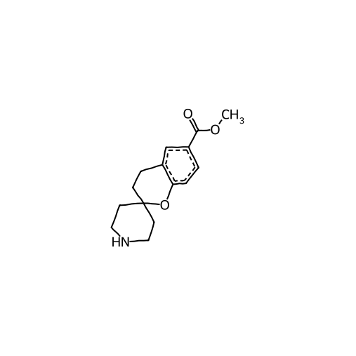 COC(=O)c1ccc2c(c1)CCC1(CCNCC1)O2